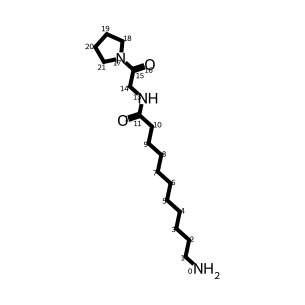 NCCCCCCCCCCC(=O)NCC(=O)N1CCCC1